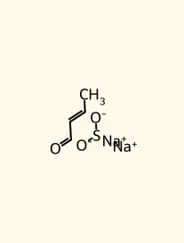 CC=CC=O.[Na+].[Na+].[O-]S[O-]